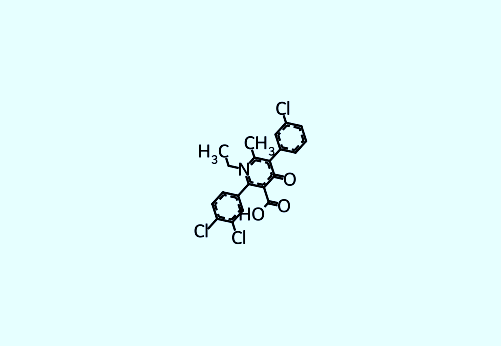 CCn1c(C)c(-c2cccc(Cl)c2)c(=O)c(C(=O)O)c1-c1ccc(Cl)c(Cl)c1